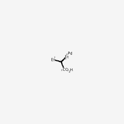 CCC(CC)C(=O)O.[Pd]